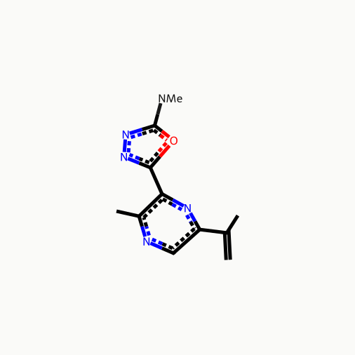 C=C(C)c1cnc(C)c(-c2nnc(NC)o2)n1